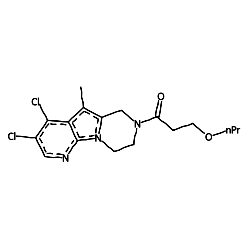 CCCOCCC(=O)N1CCn2c(c(C)c3c(Cl)c(Cl)cnc32)C1